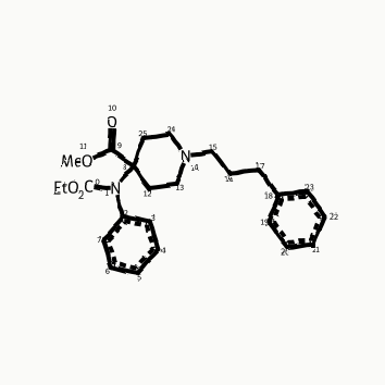 CCOC(=O)N(c1ccccc1)C1(C(=O)OC)CCN(CCCc2ccccc2)CC1